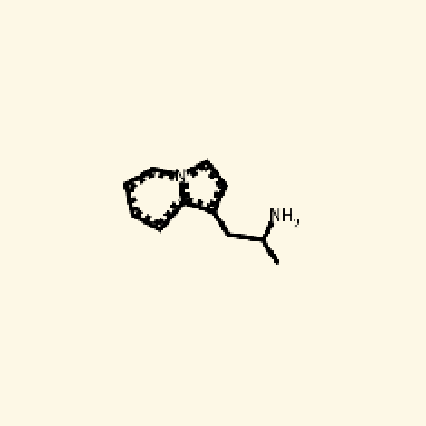 CC(N)Cc1ccn2ccccc12